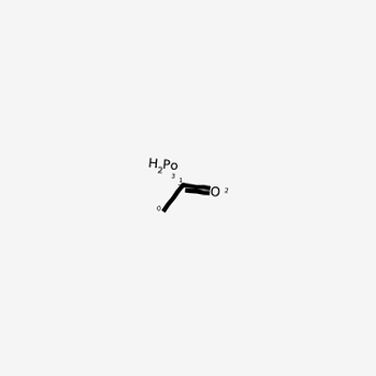 C[C]=O.[PoH2]